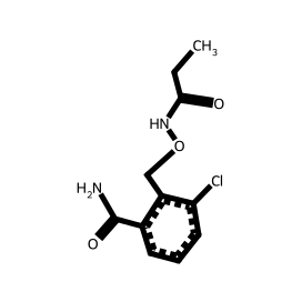 CCC(=O)NOCc1c(Cl)cccc1C(N)=O